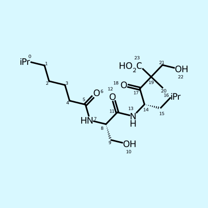 CC(C)CCCCC(=O)N[C@@H](CO)C(=O)N[C@@H](CC(C)C)C(=O)C(C)(CO)C(=O)O